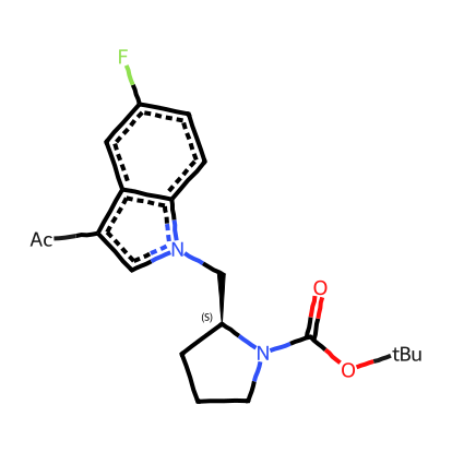 CC(=O)c1cn(C[C@@H]2CCCN2C(=O)OC(C)(C)C)c2ccc(F)cc12